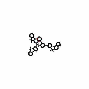 CC1(C)c2ccccc2-c2ccc(N(c3ccc4c(c3)C(C)(C)c3ccccc3-4)c3ccc(-c4ccc5c(c4)C(C)(C)c4ccc6ccccc6c4-5)cc3-c3ccccc3)cc21